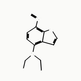 CCN(CC)c1ccc(N=O)c2occc12